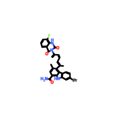 C=C(/C=C\C=C(/C)c1c(C)cc(C(N)=O)c2[nH]c3cc(C(C)C)ccc3c12)n1c(=O)[nH]c2c(F)cccc2c1=O